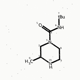 CC1CN(C(=O)NC(C)(C)C)CCN1